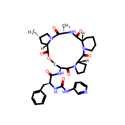 C[C@H]1C[C@H]2C(=O)OC[C@H](NC(=O)[C@H](Cc3ccccc3)NC(=O)Nc3cccnc3)C(=O)N3CCC[C@H]3C(=O)N3CCCC[C@H]3C(=O)N[C@@H](C)C(=O)N2C1